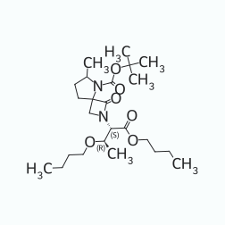 CCCCOC(=O)[C@H]([C@@H](C)OCCCC)N1CC2(CCC(C)N2C(=O)OC(C)(C)C)C1=O